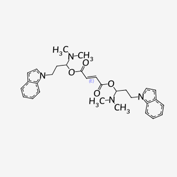 CN(C)C(CCn1ccc2ccccc21)OC(=O)/C=C/C(=O)OC(CCn1ccc2ccccc21)N(C)C